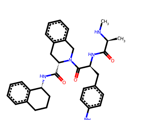 CN[C@@H](C)C(=O)N[C@@H](Cc1ccc(N)cc1)C(=O)N1Cc2ccccc2C[C@H]1C(=O)N[C@@H]1CCCc2ccccc21